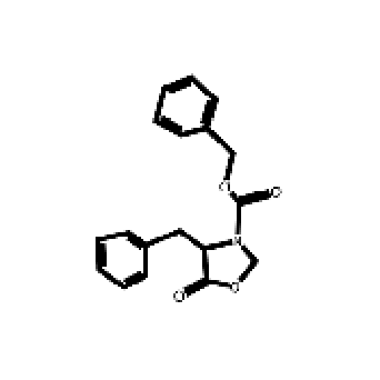 O=C1OCN(C(=O)OCc2ccccc2)C1Cc1ccccc1